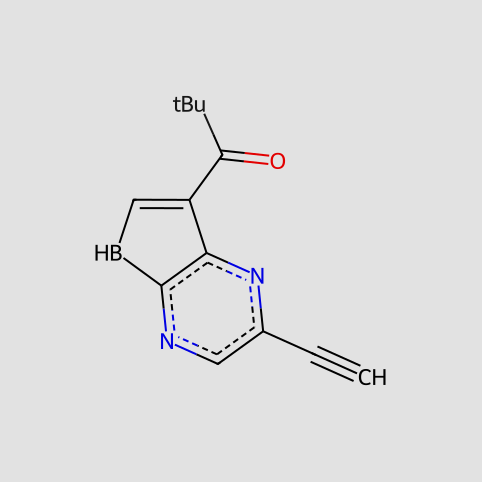 C#Cc1cnc2c(n1)C(C(=O)C(C)(C)C)=CB2